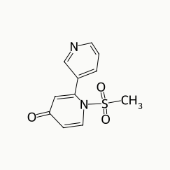 CS(=O)(=O)n1ccc(=O)cc1-c1cccnc1